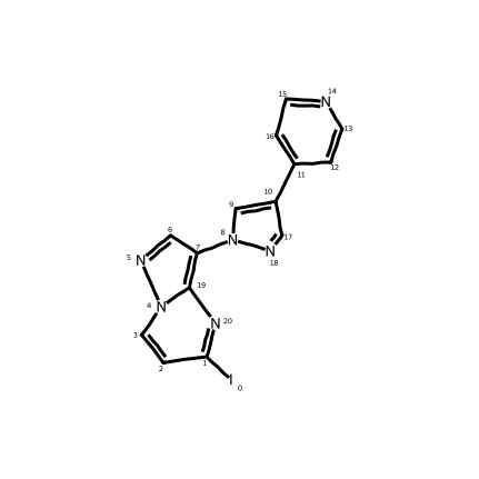 Ic1ccn2ncc(-n3cc(-c4ccncc4)cn3)c2n1